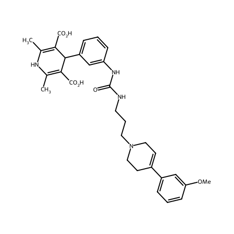 COc1cccc(C2=CCN(CCCNC(=O)Nc3cccc(C4C(C(=O)O)=C(C)NC(C)=C4C(=O)O)c3)CC2)c1